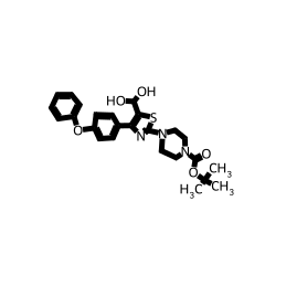 CC(C)(C)OC(=O)N1CCN(c2nc(-c3ccc(Oc4ccccc4)cc3)c(C(O)O)s2)CC1